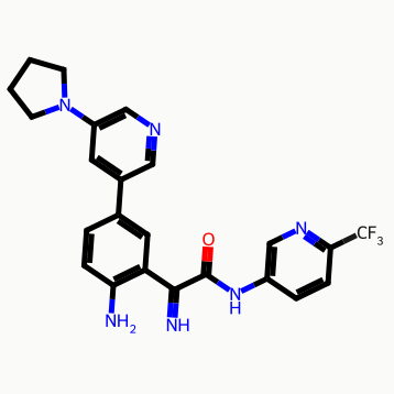 N=C(C(=O)Nc1ccc(C(F)(F)F)nc1)c1cc(-c2cncc(N3CCCC3)c2)ccc1N